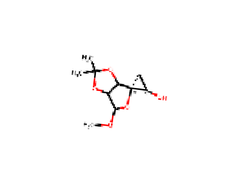 COC1O[C@@]2(C[C@H]2O)C2OC(C)(C)OC12